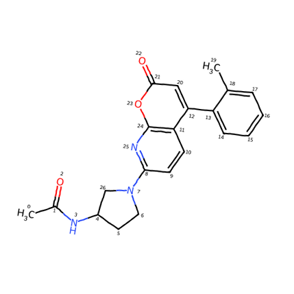 CC(=O)NC1CCN(c2ccc3c(-c4ccccc4C)cc(=O)oc3n2)C1